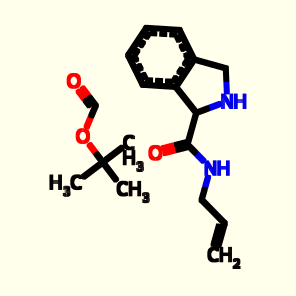 C=CCNC(=O)C1NCc2ccccc21.CC(C)(C)OC=O